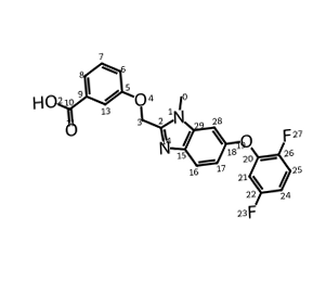 Cn1c(COc2cccc(C(=O)O)c2)nc2ccc(Oc3cc(F)ccc3F)cc21